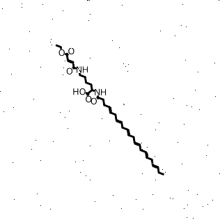 CCC=CCC=CCC=CCC=CCC=CCC=CCCC(=O)NC(CCCCNC(=O)C=CC(=O)OCC)C(=O)O